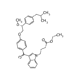 CCOC(=O)CCCn1cc(C(=O)c2ccc(OCC(OC)c3ccc(CC(C)C)cc3)cc2)c2ccccc21